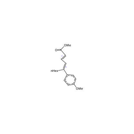 CCCCCC/C(=C\C=C\C(=O)OC)c1ccc(OC)cc1